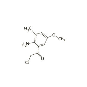 Cc1cc(OC(F)(F)F)cc(C(=O)CCl)c1N